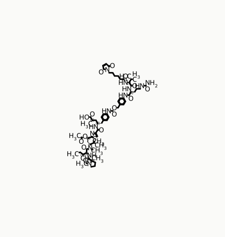 CC[C@H](C)[C@H](NC(=O)[C@@]1(C)CCCN1C)C(=O)N(C)[C@H](C[C@@H](OC(C)=O)c1nc(C(=O)N[C@@H](Cc2ccc(NC(=O)OCc3ccc(NC(=O)[C@H](CCCNC(N)=O)NC(=O)[C@@H](NC(=O)CCCCCN4C(=O)C=CC4=O)C(C)C)cc3)cc2)C[C@H](C)C(=O)O)cs1)C(C)C